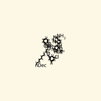 CCCCCCCCCCCCCCCCC[C@H](COP(=O)(OC[C@@]1(C)C[C@@H](c2ccc3c(N)ncnn23)[C@@H]2OC(C)(C)O[C@@H]21)Oc1ccccc1Cl)OCc1cc(C)cc(Cl)c1